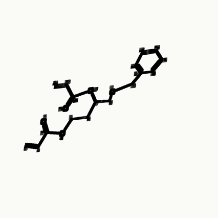 C=CC(=O)OCCC(COCc1ccccc1)OC(=O)C=C